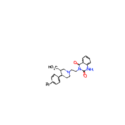 CC(C)c1ccc(C2CCN(CCn3c(=O)[nH]c4ccccc4c3=O)CC2C(=O)O)cc1